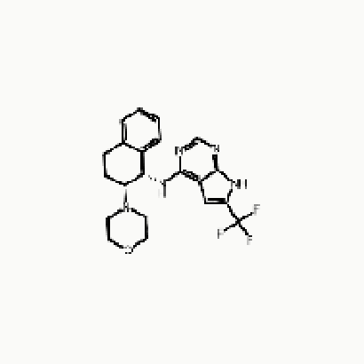 FC(F)(F)c1cc2c(N[C@H]3c4ccccc4CC[C@@H]3N3CCOCC3)ncnc2[nH]1